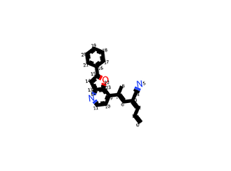 C=C/C=C(C#N)\C=C(/C)c1ccnc2cc(-c3ccccc3)oc12